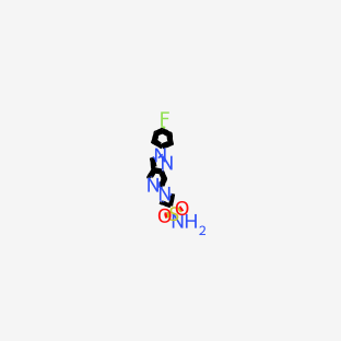 NS(=O)(=O)C1CN(c2cc3nn(-c4ccc(F)cc4)cc3cn2)C1